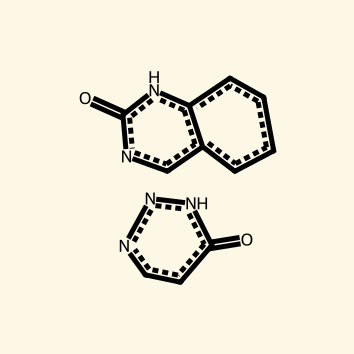 O=c1ccnn[nH]1.O=c1ncc2ccccc2[nH]1